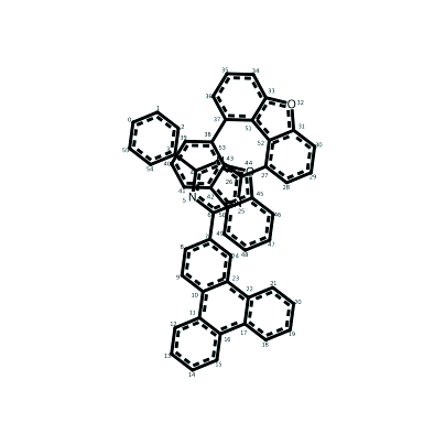 c1ccc(-c2nc(-c3ccc4c5ccccc5c5ccccc5c4c3)nc(-c3cccc4oc5cccc(-c6cccc7c6oc6ccccc67)c5c34)n2)cc1